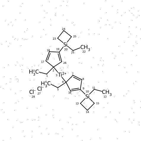 CC[C]1([Ti+2][C]2(CC)C=CC([Si]3(CC)CCC3)=C2)C=CC([Si]2(CC)CCC2)=C1.[Cl-].[Cl-]